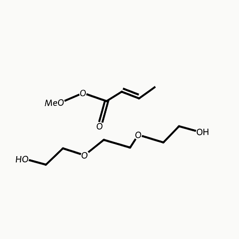 C/C=C/C(=O)OOC.OCCOCCOCCO